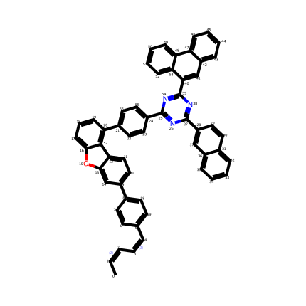 C/C=C\C=C/c1ccc(-c2ccc3c(c2)oc2cccc(-c4ccc(-c5nc(-c6ccc7ccccc7c6)nc(-c6cc7ccccc7c7ccccc67)n5)cc4)c23)cc1